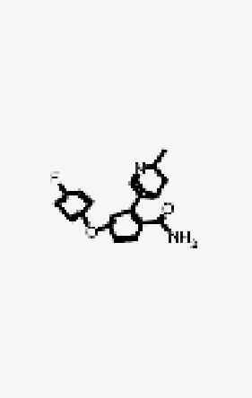 CC1CC2CCN1CC2c1cc(Oc2ccc(F)cc2)ccc1C(N)=O